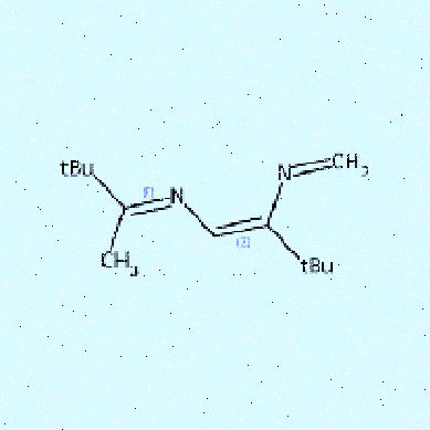 C=N/C(=C\N=C(/C)C(C)(C)C)C(C)(C)C